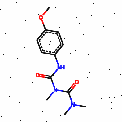 COc1ccc(NC(=O)N(C)C(=O)N(C)C)cc1